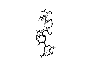 Cc1cnc(NC(=O)[C@H]2CCC[C@@H](NC(=O)C(C)C)C2)cc1-c1cc(F)c2ncn(C(C)C)c2c1